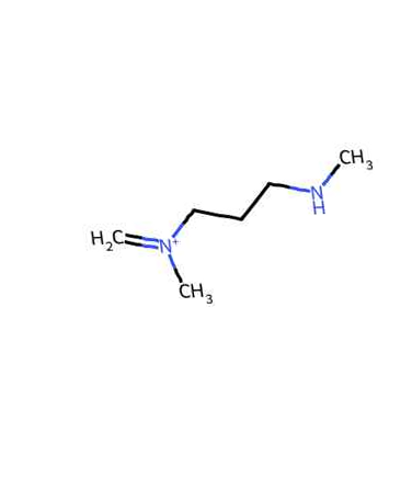 C=[N+](C)CCCNC